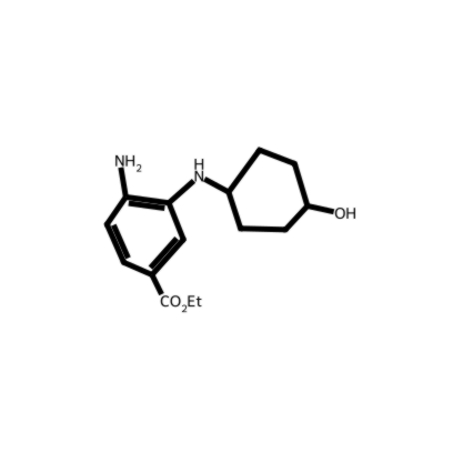 CCOC(=O)c1ccc(N)c(NC2CCC(O)CC2)c1